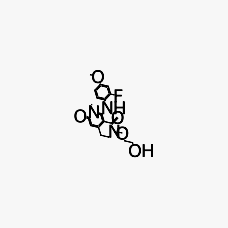 COc1ccc(Nc2c3c(cc(=O)n2C)CCN(OCCO)C3=O)c(F)c1